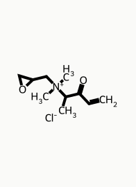 C=CC(=O)C(C)[N+](C)(C)CC1CO1.[Cl-]